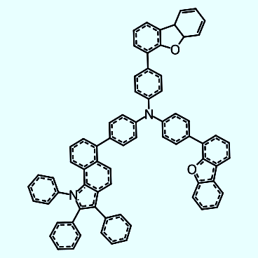 C1=CC2Oc3c(-c4ccc(N(c5ccc(-c6cccc7c6ccc6c(-c8ccccc8)c(-c8ccccc8)n(-c8ccccc8)c67)cc5)c5ccc(-c6cccc7c6oc6ccccc67)cc5)cc4)cccc3C2C=C1